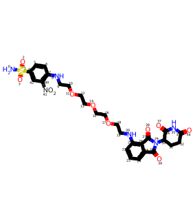 NS(=O)(=O)c1ccc(NCCOCCOCCOCCNc2cccc3c2C(=O)N(C2CCC(=O)NC2=O)C3=O)c([N+](=O)[O-])c1